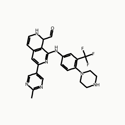 Cc1ncc(-c2cc3c(c(Nc4ccc(N5CCNCC5)c(C(F)(F)F)c4)n2)C(C=O)NC=C3)cn1